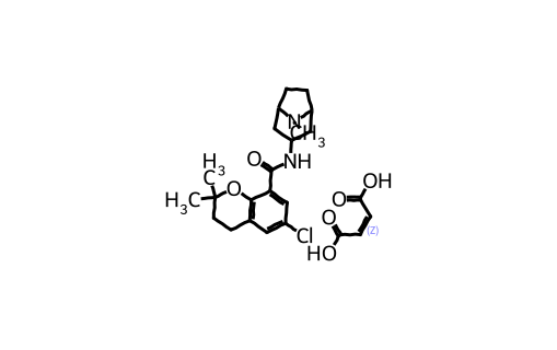 CN1C2CCC1CC(NC(=O)c1cc(Cl)cc3c1OC(C)(C)CC3)C2.O=C(O)/C=C\C(=O)O